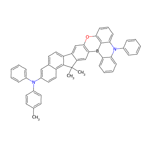 Cc1ccc(N(c2ccccc2)c2ccc3c4c(ccc3c2)-c2cc3c(cc2C4(C)C)B2c4ccccc4N(c4ccccc4)c4cccc(c42)O3)cc1